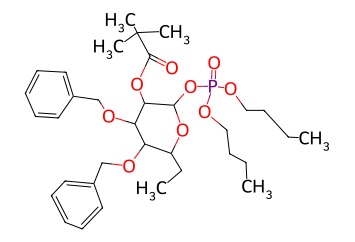 CCCCOP(=O)(OCCCC)OC1OC(CC)C(OCc2ccccc2)C(OCc2ccccc2)C1OC(=O)C(C)(C)C